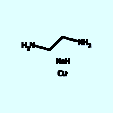 NCCN.[Cu].[NaH]